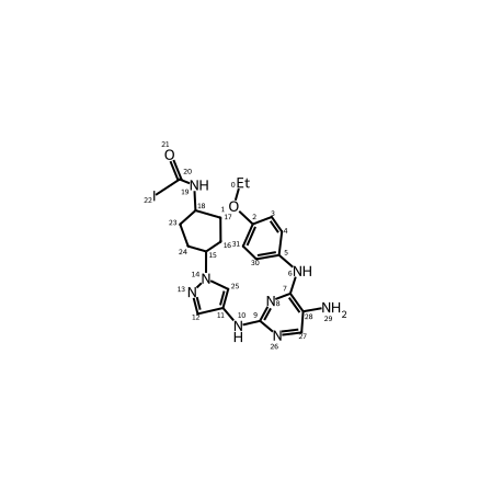 CCOc1ccc(Nc2nc(Nc3cnn(C4CCC(NC(=O)I)CC4)c3)ncc2N)cc1